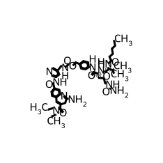 CCCCCCC(=O)N[C@H](C(=O)N[C@@H](CCCNC(N)=O)C(=O)Nc1ccc(COC(=O)NCc2cncc(NC(=O)c3ccc4c(c3)N=C(N)CC(C(=O)N(CCC)CCC)=C4)c2)cc1)C(C)C